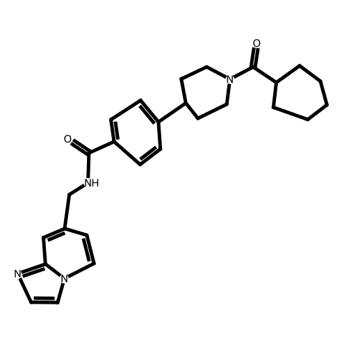 O=C(NCc1ccn2ccnc2c1)c1ccc(C2CCN(C(=O)C3CCCCC3)CC2)cc1